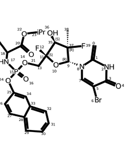 C=C1NC(=O)C(Br)=CN1[C@@H]1O[C@](F)(COP(=O)(NC(C)C(=O)OC(C)C)Oc2ccc3ccccc3c2)[C@@H](O)[C@@]1(C)F